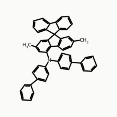 Cc1ccc2c(c1)C1(c3ccccc3-c3ccccc31)c1cc(C)cc(N(c3ccc(-c4ccccc4)cc3)c3ccc(-c4ccccc4)cc3)c1-2